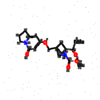 COC(=O)C12CC(COc3cc4n(c(=O)c3)CCC4)(CN1C(=O)OC(C)(C)C)C2